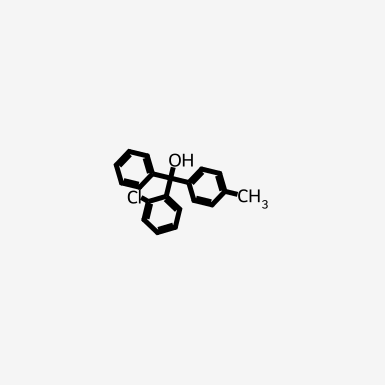 Cc1ccc(C(O)(c2ccccc2)c2ccccc2Cl)cc1